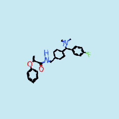 CC(Oc1ccccc1)C(=O)NCC1CCC(C(c2ccc(F)cc2)N(C)C)CC1